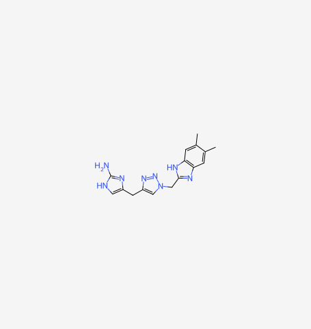 Cc1cc2nc(Cn3cc(Cc4c[nH]c(N)n4)nn3)[nH]c2cc1C